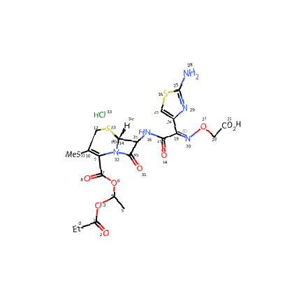 CCC(=O)OC(C)OC(=O)C1=C(SC)CS[C@@H]2C(NC(=O)/C(=N/OCC(=O)O)c3csc(N)n3)C(=O)N12.Cl